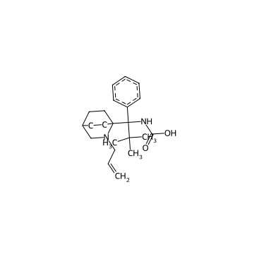 C=CCN1CC2CCC1(C(NC(=O)O)(c1ccccc1)C(C)(C)C)CC2